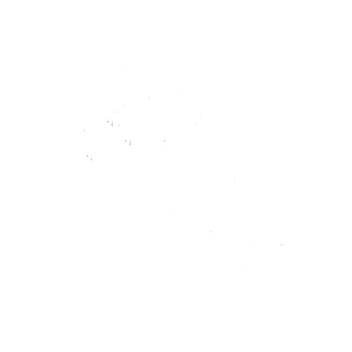 CC(=CCOc1c(F)cccc1F)CC(C(O)C(C)(C)C)n1cncn1